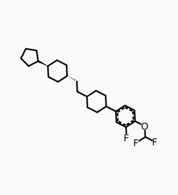 Fc1cc(C2CCC(CC[C@H]3CC[C@H](C4CCCC4)CC3)CC2)ccc1OC(F)F